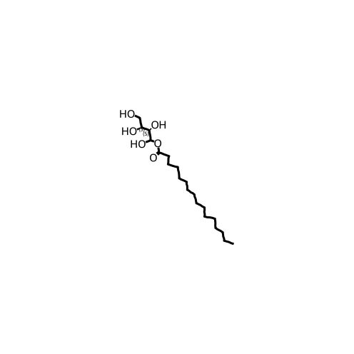 CCCCCCCCCCCCCCCC(=O)OC(O)[C@@H](O)[C@@H](O)CO